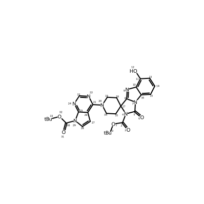 CC(C)(C)OC(=O)N1C(=O)n2c(nc3c(O)cccc32)C12CCN(c1ncnc3c1ccn3C(=O)OC(C)(C)C)CC2